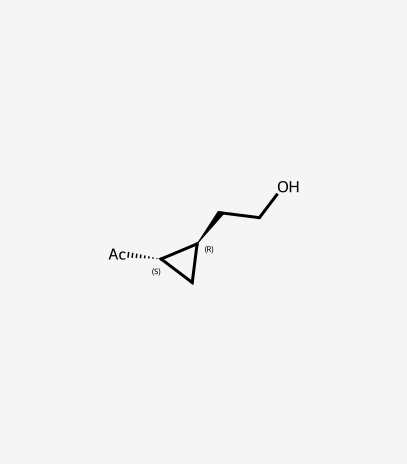 CC(=O)[C@H]1C[C@@H]1CCO